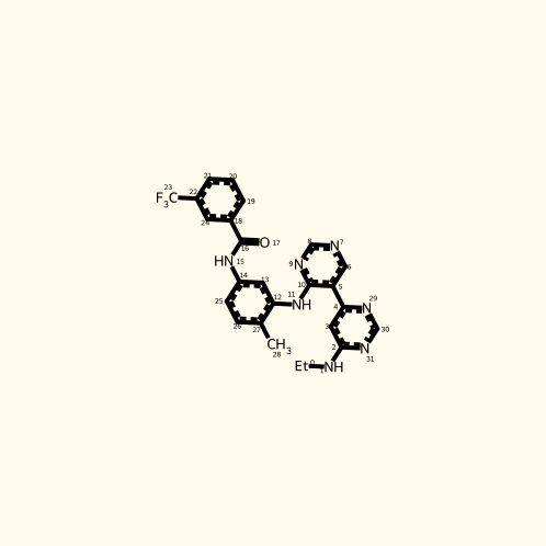 CCNc1cc(-c2cncnc2Nc2cc(NC(=O)c3cccc(C(F)(F)F)c3)ccc2C)ncn1